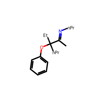 CCC/N=C(\C)C(CC)(CCC)Oc1ccccc1